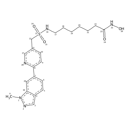 Cn1ncc2ccc(-c3ccc(CS(=O)(=O)NCCCCCCC(=O)NO)cn3)cc21